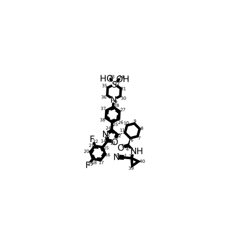 N#CC1(NC(=O)[C@@H]2CCCC[C@H]2c2oc(-c3ccc(F)cc3F)nc2-c2ccc(N3CCS(O)(O)CC3)cc2)CC1